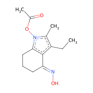 CCc1c2c(n(OC(C)=O)c1C)CCCC2=NO